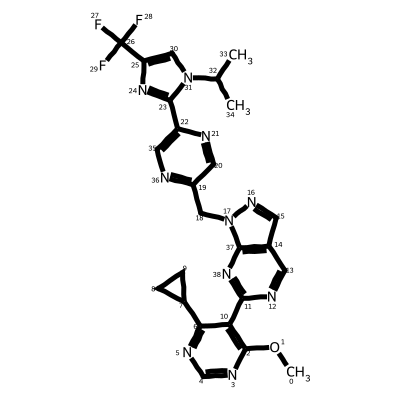 COc1ncnc(C2CC2)c1-c1ncc2cnn(Cc3cnc(-c4nc(C(F)(F)F)cn4C(C)C)cn3)c2n1